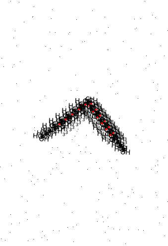 CN(C)P(N(C)C)N(C)C.CN(C)P(N(C)C)N(C)C.CN(C)P(N(C)C)N(C)C.CN(C)P(N(C)C)N(C)C.CN(C)P(N(C)C)N(C)C.CN(C)P(N(C)C)N(C)C.CN(C)P(N(C)C)N(C)C.CN(C)P(N(C)C)N(C)C.CN(C)P(N(C)C)N(C)C.CN(C)P(N(C)C)N(C)C.CN(C)P(N(C)C)N(C)C.CN(C)P(N(C)C)N(C)C.O=P(O)(O)F.O=P(O)(O)F.O=P(O)(O)F.O=P(O)(O)F.O=P(O)(O)F.O=P(O)(O)F